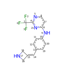 FC(F)(F)c1nccc(Nc2ccc(C=C3CNC3)cc2)n1